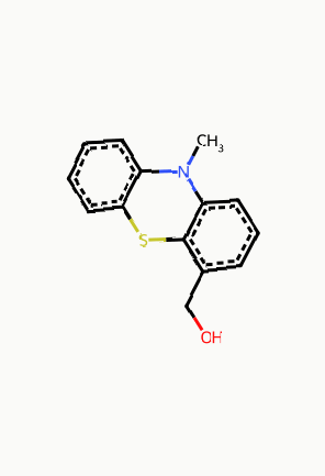 CN1c2ccccc2Sc2c(CO)cccc21